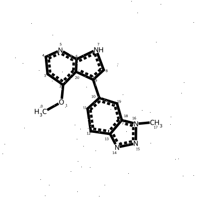 COc1ccnc2[nH]cc(-c3ccc4nnn(C)c4c3)c12